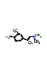 Cc1cc(C(C#N)=CN(C)C)ccc1[N+](=O)[O-]